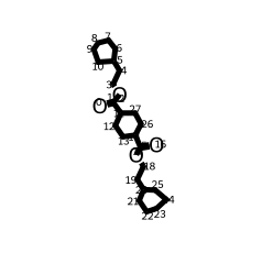 O=C(OCCC1CCCCC1)C1CCC(C(=O)OCCC2CCCCC2)CC1